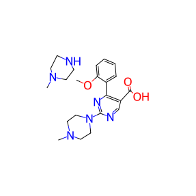 CN1CCNCC1.COc1ccccc1-c1nc(N2CCN(C)CC2)ncc1C(=O)O